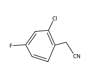 N#CCc1ccc(F)cc1Cl